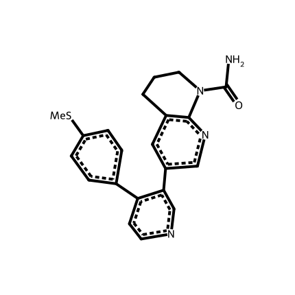 CSc1ccc(-c2ccncc2-c2cnc3c(c2)CCCN3C(N)=O)cc1